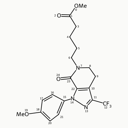 COC(=O)CCCCN1CCc2c(C(F)(F)F)nn(-c3ccc(OC)cc3)c2C1=O